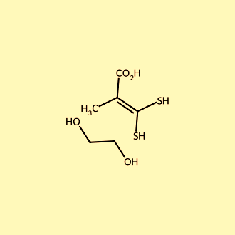 CC(C(=O)O)=C(S)S.OCCO